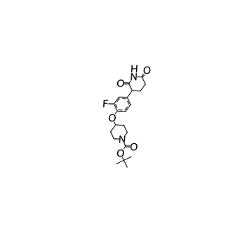 CC(C)(C)OC(=O)N1CCC(Oc2ccc(C3CCC(=O)NC3=O)cc2F)CC1